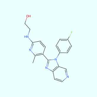 Cc1nc(NCCO)ccc1-c1nc2ccncc2n1-c1ccc(F)cc1